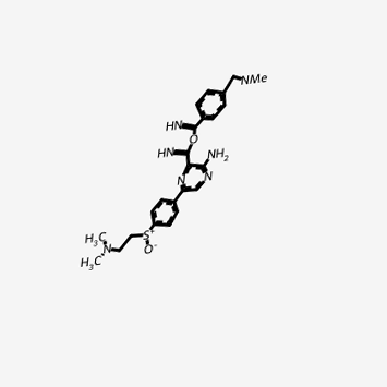 CNCc1ccc(C(=N)OC(=N)c2nc(-c3ccc([S+]([O-])CCN(C)C)cc3)cnc2N)cc1